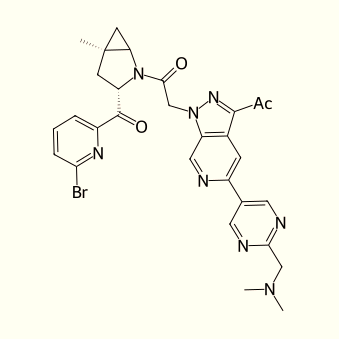 CC(=O)c1nn(CC(=O)N2C3C[C@]3(C)C[C@H]2C(=O)c2cccc(Br)n2)c2cnc(-c3cnc(CN(C)C)nc3)cc12